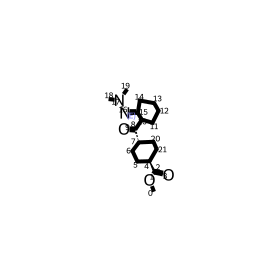 COC(=O)[C@H]1CC[C@H](C(=O)C2CCCC/C2=N\N(C)C)CC1